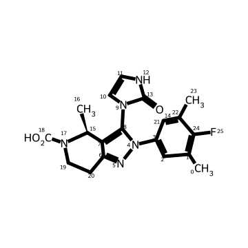 Cc1cc(-n2nc3c(c2-n2cc[nH]c2=O)[C@H](C)N(C(=O)O)CC3)cc(C)c1F